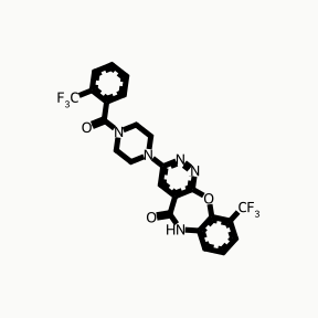 O=C1Nc2cccc(C(F)(F)F)c2Oc2nnc(N3CCN(C(=O)c4ccccc4C(F)(F)F)CC3)cc21